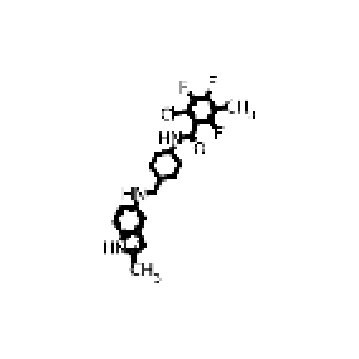 Cc1cc2cc(NCC3CCC(NC(=O)c4c(F)c(C)c(F)c(F)c4Cl)CC3)ccc2[nH]1